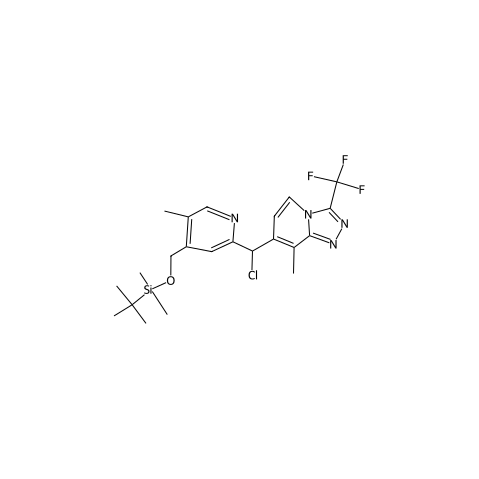 Cc1cnc(C(Cl)c2ccn3c(C(F)(F)F)nnc3c2C)cc1CO[Si](C)(C)C(C)(C)C